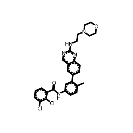 Cc1ccc(NC(=O)c2cccc(Cl)c2Cl)cc1-c1ccc2nc(NCCN3CCOCC3)ncc2c1